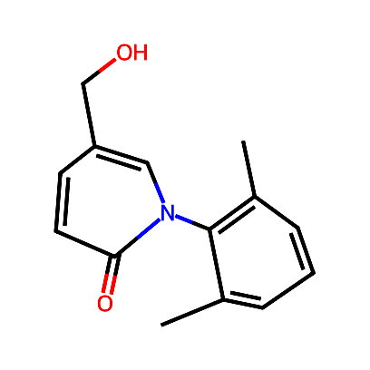 Cc1cccc(C)c1-n1cc(CO)ccc1=O